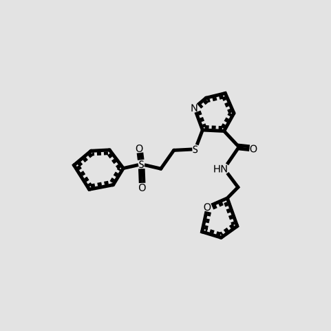 O=C(NCc1ccco1)c1cccnc1SCCS(=O)(=O)c1ccccc1